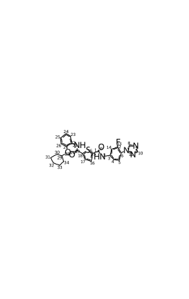 O=C(Nc1ccc(-n2cncn2)c(F)c1)c1ccc(C(=O)Nc2ccccc2OC2CCCCC2)s1